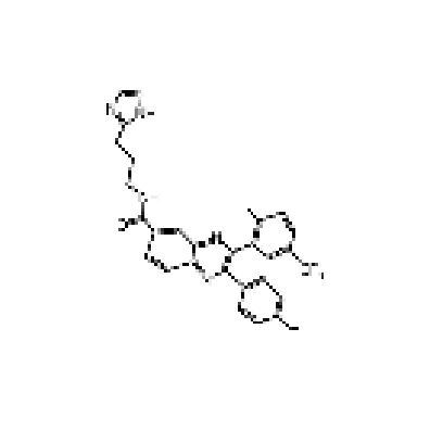 Cc1ccc(C(F)(F)F)cc1-c1nc2cc(C(=O)NCCCc3ncc[nH]3)ccc2nc1-c1ccc(F)cc1